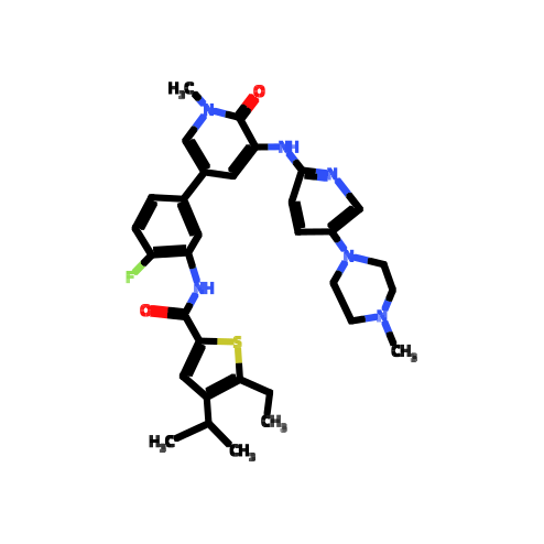 CCc1sc(C(=O)Nc2cc(-c3cc(Nc4ccc(N5CCN(C)CC5)cn4)c(=O)n(C)c3)ccc2F)cc1C(C)C